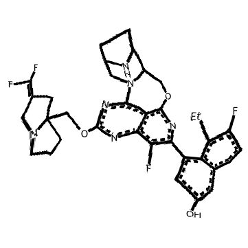 CCc1c(F)ccc2cc(O)cc(-c3nc4c5c(nc(OCC67CCCN6CC(=C(F)F)C7)nc5c3F)N3CC5CCC(N5)C3CO4)c12